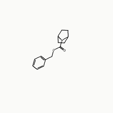 O=C(OCc1ccccc1)N1C2CCC1CC2